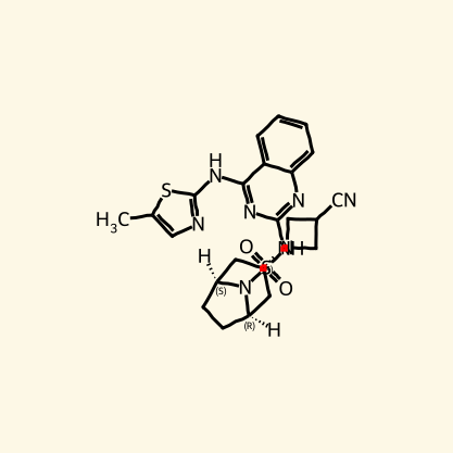 Cc1cnc(Nc2nc(N[C@@H]3C[C@H]4CC[C@@H](C3)N4S(=O)(=O)N3CC(C#N)C3)nc3ccccc23)s1